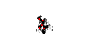 CC(C)[C@H](NC(=O)[C@H](C)NC[C@H](Cc1ccccc1)NC(=O)c1cc(C(=O)N[C@H](C)c2cccc(Cl)c2)cc(N(C)S(C)(=O)=O)c1)C(=O)NNc1ccccc1